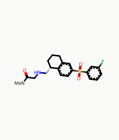 CNC(=O)CNC[C@@H]1CCCc2cc(S(=O)(=O)c3cccc(F)c3)ccc21